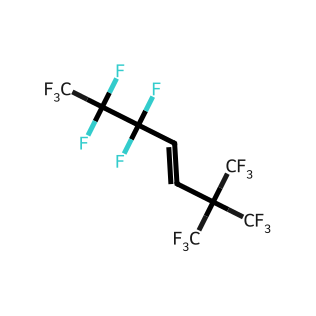 FC(F)(F)C(F)(F)C(F)(F)/C=C/C(C(F)(F)F)(C(F)(F)F)C(F)(F)F